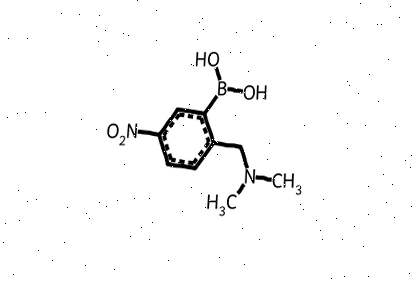 CN(C)Cc1ccc([N+](=O)[O-])cc1B(O)O